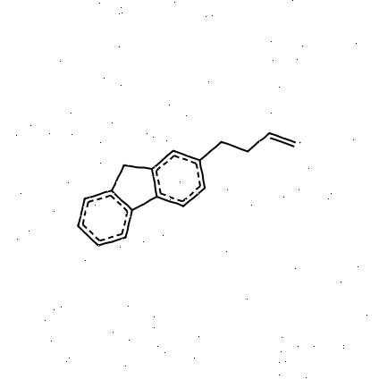 [CH]=CCCc1ccc2c(c1)Cc1ccccc1-2